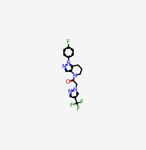 O=C(Cn1cc(C(F)(F)F)cn1)N1CCCc2c1cnn2-c1ccc(F)cc1